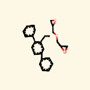 C(OCC1CO1)C1CO1.CCc1cc(-c2ccccc2)ccc1-c1ccccc1